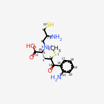 CSC(C[C@@H](NCC(N)CS)C(=O)O)C(=O)c1ccccc1N